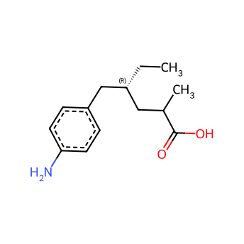 CC[C@@H](Cc1ccc(N)cc1)CC(C)C(=O)O